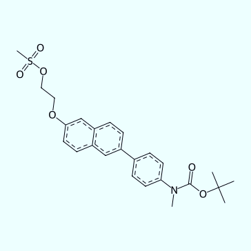 CN(C(=O)OC(C)(C)C)c1ccc(-c2ccc3cc(OCCOS(C)(=O)=O)ccc3c2)cc1